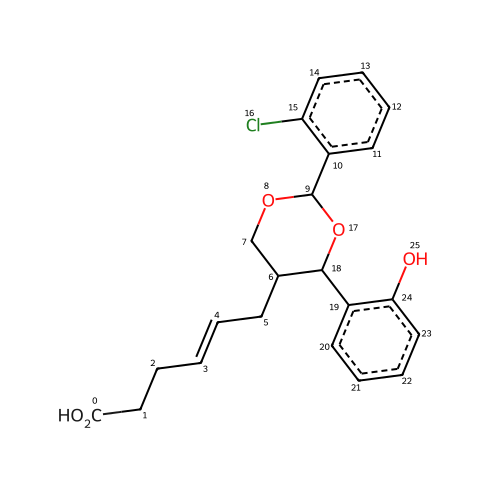 O=C(O)CCC=CCC1COC(c2ccccc2Cl)OC1c1ccccc1O